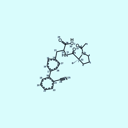 CC(=O)N1CCC[C@@]1(C)C(=O)NC(Cc1ccc(-c2ccccc2C#N)cc1)C(=O)O